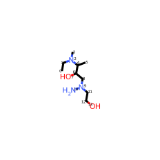 CCN(C)C(C)C(O)CN(N)CCO